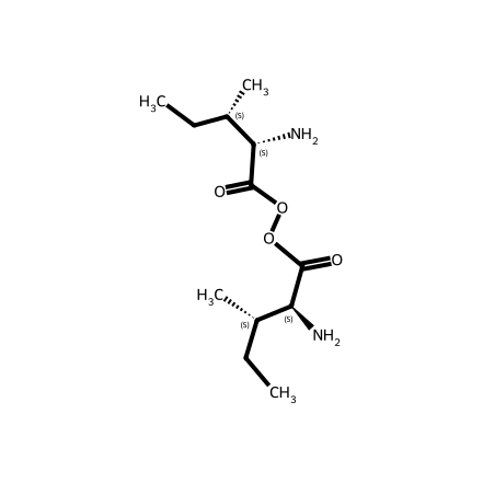 CC[C@H](C)[C@H](N)C(=O)OOC(=O)[C@@H](N)[C@@H](C)CC